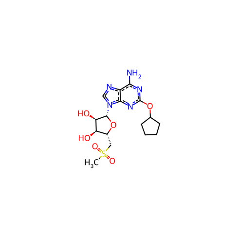 CS(=O)(=O)C[C@H]1O[C@@H](n2cnc3c(N)nc(OC4CCCC4)nc32)[C@H](O)[C@@H]1O